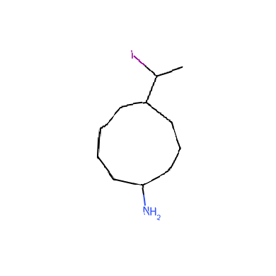 CC(I)C1CCCCC(N)CCC1